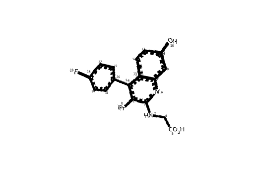 CC(C)c1c(NCC(=O)O)nc2cc(O)ccc2c1-c1ccc(F)cc1